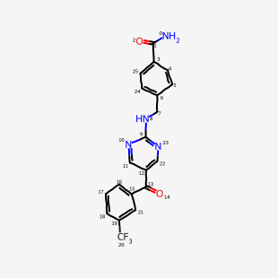 NC(=O)c1ccc(CNc2ncc(C(=O)c3cccc(C(F)(F)F)c3)cn2)cc1